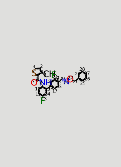 Cc1ccsc1C(=O)Nc1ccc(F)cc1-c1ccc(/C=N/OCc2ccccc2)c(F)c1